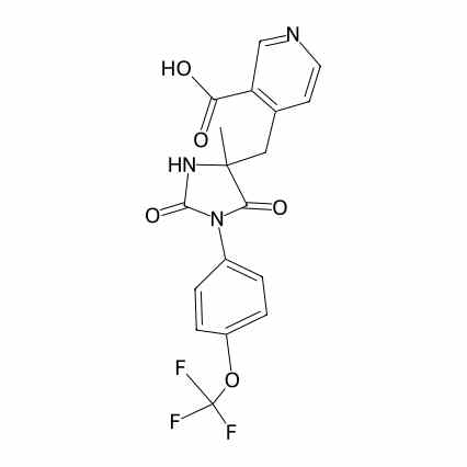 CC1(Cc2ccncc2C(=O)O)NC(=O)N(c2ccc(OC(F)(F)F)cc2)C1=O